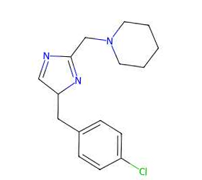 Clc1ccc(CC2C=NC(CN3CCCCC3)=N2)cc1